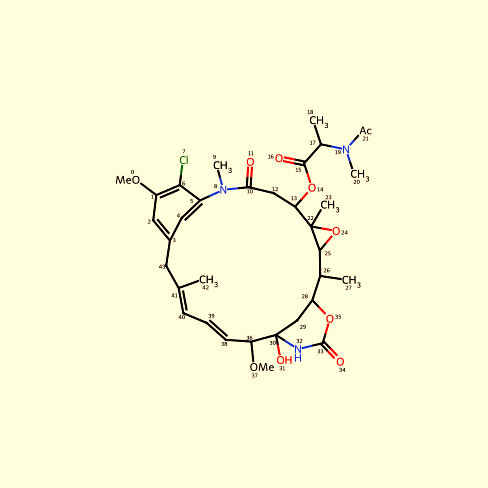 COc1cc2cc(c1Cl)N(C)C(=O)CC(OC(=O)C(C)N(C)C(C)=O)C1(C)OC1C(C)C1CC(O)(NC(=O)O1)C(OC)/C=C/C=C(\C)C2